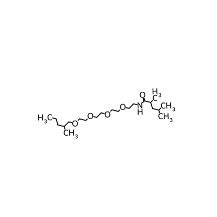 CCCC(C)COCCOCCOCCOCCNC(=O)C(C)CC(C)C